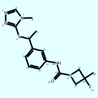 CC(Sc1nncn1C)c1cccc(NC(=O)N2CC(C)(F)C2)c1